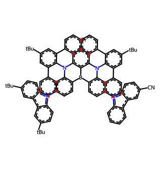 CC(C)c1cc2c3c(c1)N(c1c(-c4ccccc4)cc(C(C)(C)C)cc1-c1ccccc1)c1cc(-n4c5ccc(C(C)(C)C)cc5c5cc(C(C)(C)C)ccc54)ccc1B3c1ccc(-n3c4ccccc4c4cc(C#N)ccc43)cc1N2c1c(-c2ccccc2)cc(C(C)(C)C)cc1-c1ccccc1